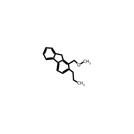 CCCc1ccc2c(c1COC)Cc1ccccc1-2